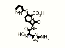 Nc1nc(/C(=N/O)C(=O)N[C@@H]2C(=O)N3C(C(=O)O)=C(Sc4cccnn4)CCC23)ns1